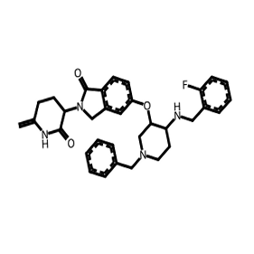 C=C1CCC(N2Cc3cc(OC4CN(Cc5ccccc5)CCC4NCc4ccccc4F)ccc3C2=O)C(=O)N1